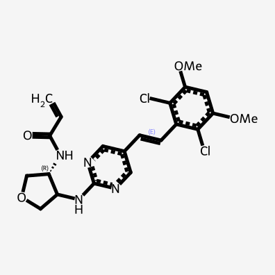 C=CC(=O)N[C@H]1COCC1Nc1ncc(/C=C/c2c(Cl)c(OC)cc(OC)c2Cl)cn1